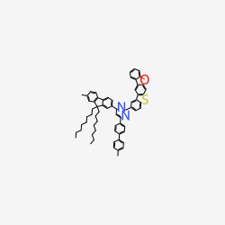 CCCCCCCCC1(CCCCCCCC)c2cc(C)ccc2-c2ccc(-c3cc(-c4ccc(-c5ccc(C)cc5)cc4)nc(-c4ccc5sc6cc7oc8ccccc8c7cc6c5c4)n3)cc21